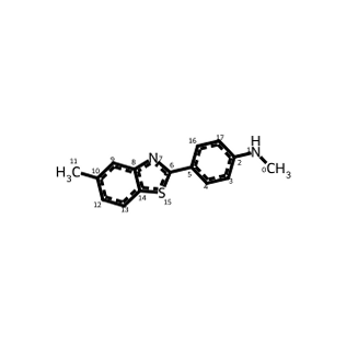 CNc1ccc(-c2nc3cc(C)ccc3s2)cc1